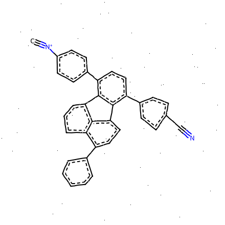 [C-]#[N+]c1ccc(-c2ccc(-c3ccc(C#N)cc3)c3c2-c2cccc4c(-c5ccccc5)ccc-3c24)cc1